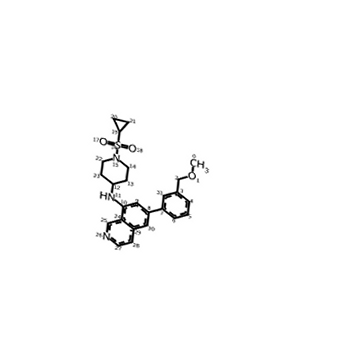 COCc1cccc(-c2cc(NC3CCN(S(=O)(=O)C4CC4)CC3)c3cnccc3c2)c1